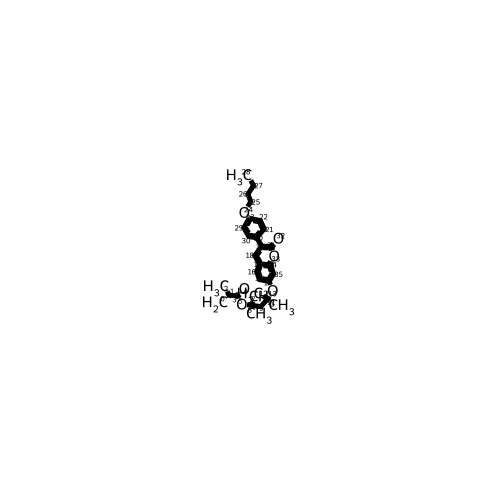 C=C(C)C(=O)OC(C)(C)CC(C)(C)Oc1ccc2cc(-c3ccc(OCCCC)cc3)c(=O)oc2c1